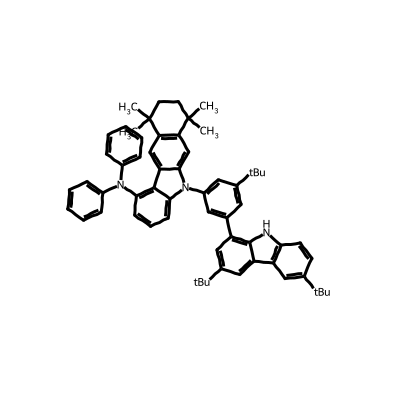 CC(C)(C)c1cc(-c2cc(C(C)(C)C)cc3c2[nH]c2ccc(C(C)(C)C)cc23)cc(-n2c3cc4c(cc3c3c(N(c5ccccc5)c5ccccc5)cccc32)C(C)(C)CCC4(C)C)c1